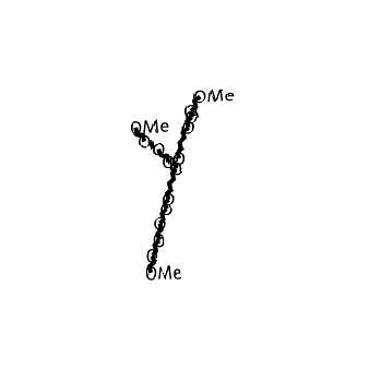 COCCOCCOCCOCCOCOCCCCCOB(OCCCCCOCOOCCOC)OCCOCCOCCOC